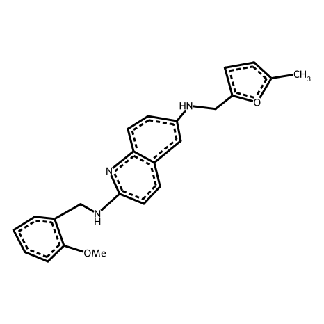 COc1ccccc1CNc1ccc2cc(NCc3ccc(C)o3)ccc2n1